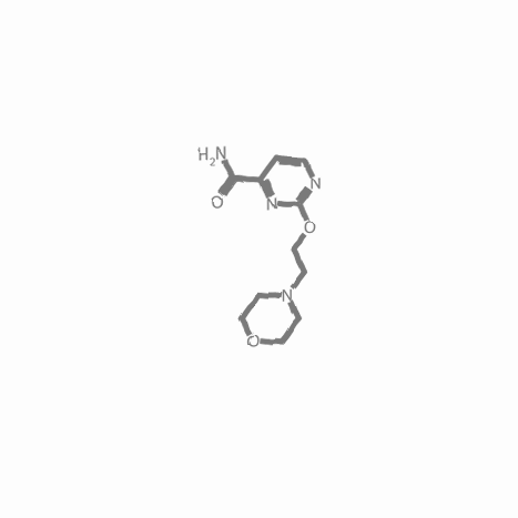 NC(=O)c1ccnc(OCCN2CCOCC2)n1